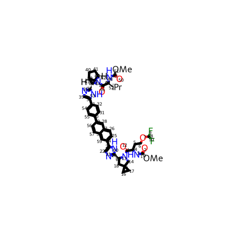 COC(=O)NC(CCOC(F)F)C(=O)N1CC2(CC2)C[C@H]1c1ncc(-c2ccc3cc(-c4ccc(-c5cnc([C@@H]6[C@H]7CC[C@H](C7)N6C(=O)[C@@H](NC(=O)OC)C(C)C)[nH]5)cc4)ccc3c2)[nH]1